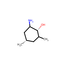 CC1C[C@H](C)CC(N)[C@@H]1O